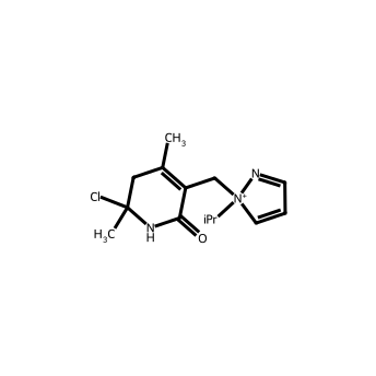 CC1=C(C[N+]2(C(C)C)C=CC=N2)C(=O)NC(C)(Cl)C1